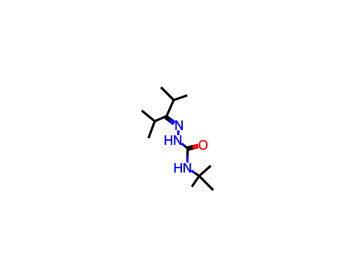 CC(C)C(=NNC(=O)NC(C)(C)C)C(C)C